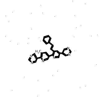 Cc1cc(-c2ncc(-c3cncnc3)cc2C=Cc2ccccc2)cnc1-c1cncnc1